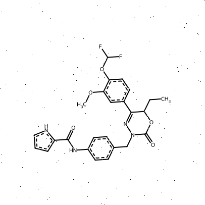 CCC1OC(=O)N(Cc2ccc(NC(=O)c3ccc[nH]3)cc2)N=C1c1ccc(OC(F)F)c(OC)c1